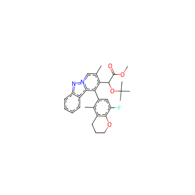 COC(=O)C(OC(C)(C)C)c1c(C)cn2nc3ccccc3c2c1-c1cc(F)c2c(c1C)CCCO2